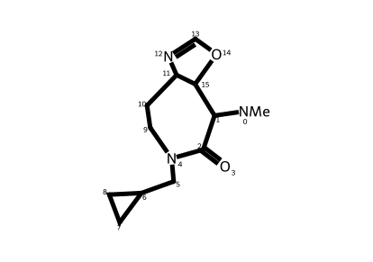 CNC1C(=O)N(CC2CC2)CCC2N=COC21